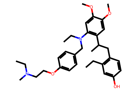 CCc1cc(O)ccc1CC(C)c1cc(OC)c(OC)cc1N(CC)Cc1ccc(OCCN(C)CC)cc1